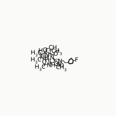 CN[C@@H](C)C(=O)N[C@H](C(=O)N1C[C@@H](NC(C)=O)C[C@H]1CN(CCc1ccc(F)cc1)S(C)(=O)=O)C(C)(C)C